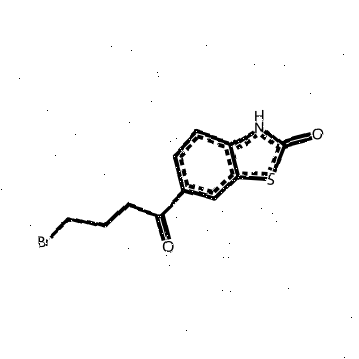 O=C(CCCBr)c1ccc2[nH]c(=O)sc2c1